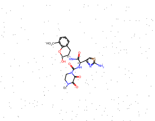 CCN1CCN(C(=O)N[C@@H](C(=O)N[C@H]2Cc3cccc(C(=O)O)c3OB2O)c2csc(N)n2)C(=O)C1=O